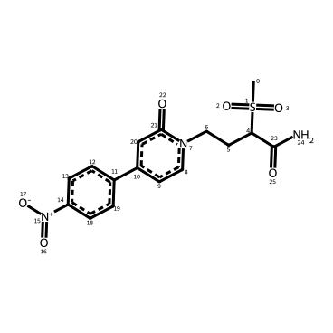 CS(=O)(=O)C(CCn1ccc(-c2ccc([N+](=O)[O-])cc2)cc1=O)C(N)=O